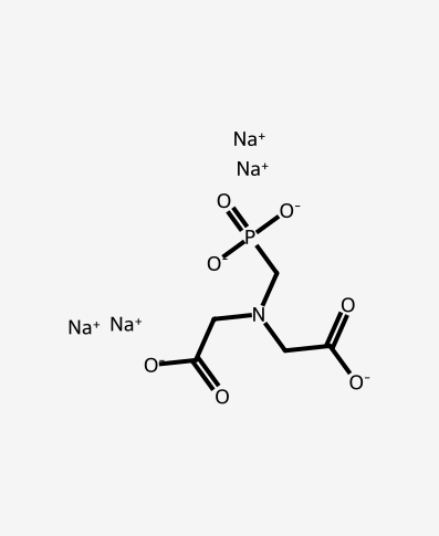 O=C([O-])CN(CC(=O)[O-])CP(=O)([O-])[O-].[Na+].[Na+].[Na+].[Na+]